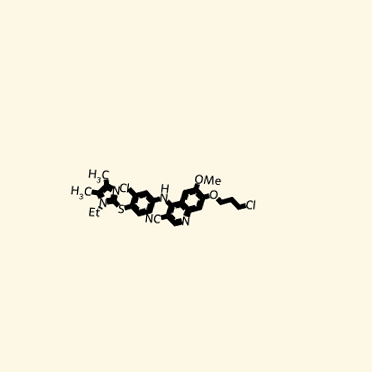 CCn1c(Sc2ccc(Nc3c(C#N)cnc4cc(OCCCCl)c(OC)cc34)cc2Cl)nc(C)c1C